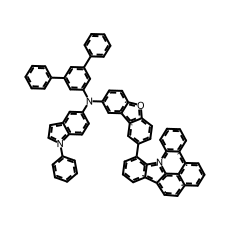 c1ccc(-c2cc(-c3ccccc3)cc(N(c3ccc4c(ccn4-c4ccccc4)c3)c3ccc4oc5ccc(-c6cccc7c8ccc9cccc%10c%11ccccc%11n(c67)c8c9%10)cc5c4c3)c2)cc1